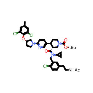 CC(=O)NCCc1ccc(Cl)c(CN(C(=O)[C@H]2CN(C(=O)OC(C)(C)C)CC[C@@H]2c2ccc(N3CC[C@H](Oc4c(Cl)cc(C)cc4Cl)C3)nc2)C2CC2)c1